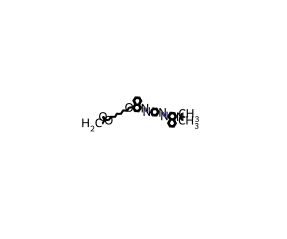 C=CC(=O)OCCCCCCOc1ccc(/N=N/c2ccc(/N=N/c3ccc(N(C)C)c4ccccc34)cc2)c2ccccc12